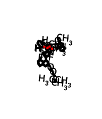 COC1CN2CCCC2(COc2nc(N3C[C@H]4CC[C@@H](C3)N4C(=O)OC(C)(C)C)c3cnc(-c4cc(OCOCC[Si](C)(C)C)cc5cccc(F)c45)c(F)c3n2)C1